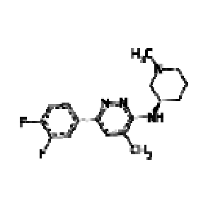 Cc1cc(-c2ccc(F)c(F)c2)nnc1N[C@@H]1CCCN(C)C1